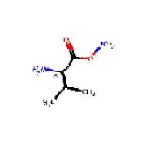 CC(C)[C@@H](N)C(=O)ON